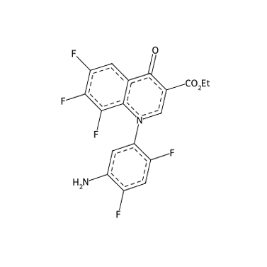 CCOC(=O)c1cn(-c2cc(N)c(F)cc2F)c2c(F)c(F)c(F)cc2c1=O